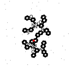 c1ccc(-n2c3ccccc3c3cccc(-c4nc(-c5ccc(-c6ccc7cc8c(cc7c6)c6c7ccccc7ccc6n8-c6cc(-c7nc(-c8ccc9oc%10ccccc%10c9c8)nc(-c8ccc9sc%10ccccc%10c9c8)n7)c7oc8c9ccccc9ccc8c7c6)cc5)nc(-c5cc(-n6c7cc8ccccc8cc7c7cc8ccccc8cc76)cc6c5oc5ccccc56)n4)c32)cc1